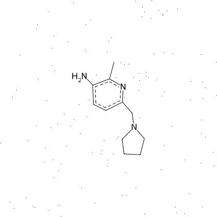 Cc1nc(CN2CCCC2)ccc1N